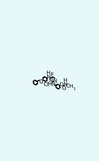 CNC(=O)Oc1cccc(Nc2ncc(F)c(Nc3ccc(OCc4ccccc4)c(Cl)c3)n2)c1